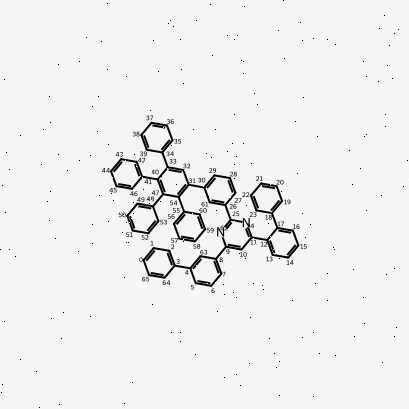 c1ccc(-c2cccc(-c3cc(-c4ccccc4-c4ccccc4)nc(-c4cccc(-c5cc(-c6ccccc6)c(-c6ccccc6)c(-c6ccccc6)c5-c5ccccc5)c4)n3)c2)cc1